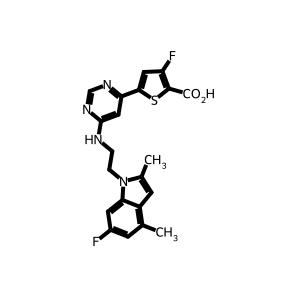 Cc1cc(F)cc2c1cc(C)n2CCNc1cc(-c2cc(F)c(C(=O)O)s2)ncn1